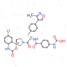 Cc1nocc1-c1ccc(C[C@H](NC(=O)c2ccc(NC(=O)O)cc2)C(=O)N2CC[C@@]3(C2)OC(=O)Nc2ccc(Cl)cc23)cc1